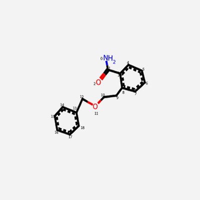 NC(=O)c1ccccc1CCOCc1ccccc1